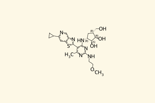 COCCNc1nc(C)c(-c2nc3cnc(C4CC4)cc3s2)c(N[C@@H]2C[C@H](CO)[C@@H](O)[C@H]2O)n1